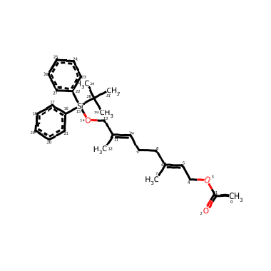 CC(=O)OC/C=C(\C)CC/C=C(\C)CO[Si](c1ccccc1)(c1ccccc1)C(C)(C)C